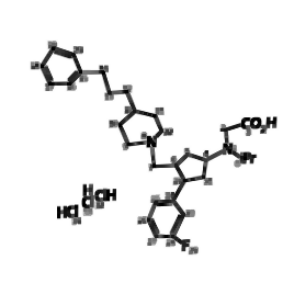 CC(C)N(CC(=O)O)C1CC(CN2CCC(CCCc3ccccc3)CC2)C(c2cccc(F)c2)C1.Cl.Cl.Cl